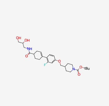 CC(C)(C)OC(=O)N1CCC(COc2ccc(C3=CCC(C(=O)NCC(O)CO)CC3)c(F)c2)CC1